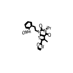 COc1ccccc1CCn1c(=O)n(C(C)C)c(=O)c2c(C)c(-c3ncco3)sc21